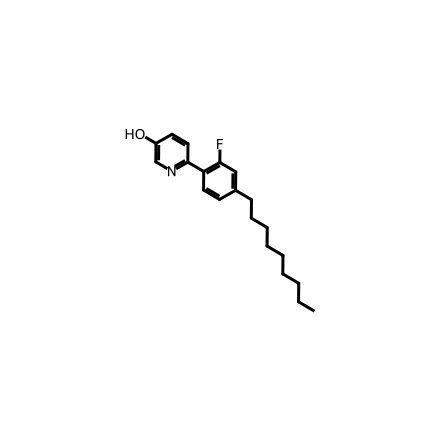 CCCCCCCCCc1ccc(-c2ccc(O)cn2)c(F)c1